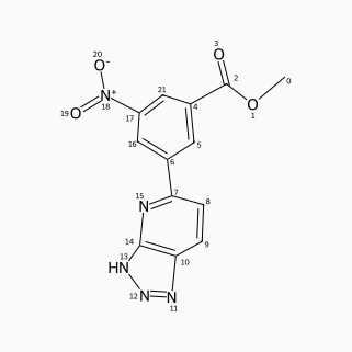 COC(=O)c1cc(-c2ccc3nn[nH]c3n2)cc([N+](=O)[O-])c1